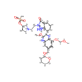 COCOc1cc(COC2CCCCO2)cc2nc(OC)c(-c3cccc4c(=O)n(CCN5CC[C@@H](OS(C)(=O)=O)C5)[nH]c34)nc12